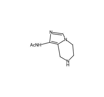 CC(=O)Nc1ncn2c1CNCC2